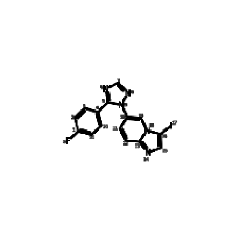 Fc1ccc(-c2ncnn2-c2ccc3ncc(I)n3c2)cc1